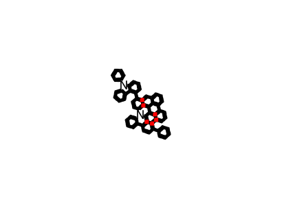 c1ccc(-c2ccc(-c3ccccc3N(c3ccc(-c4cccc5c4c4ccccc4n5-c4ccccc4)cc3)c3ccccc3-c3cccc4cccc(-c5ccccc5)c34)cc2)cc1